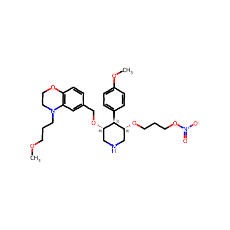 COCCCN1CCOc2ccc(CO[C@H]3CNC[C@@H](OCCCO[N+](=O)[O-])[C@@H]3c3ccc(OC)cc3)cc21